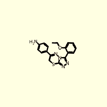 CCOc1ccccc1-c1nnc2n1N=C(c1ccc(N)cc1)CS2